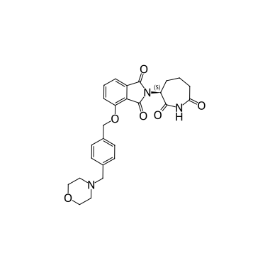 O=C1CCC[C@H](N2C(=O)c3cccc(OCc4ccc(CN5CCOCC5)cc4)c3C2=O)C(=O)N1